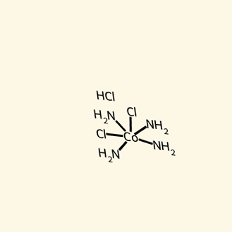 Cl.[NH2][Co]([NH2])([NH2])([NH2])([Cl])[Cl]